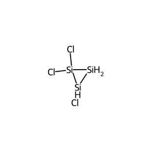 Cl[SiH]1[SiH2][Si]1(Cl)Cl